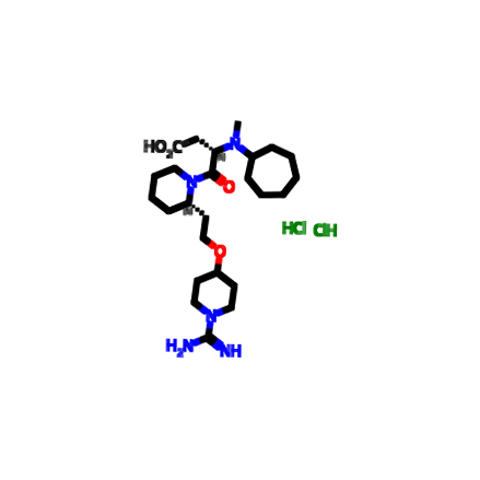 CN(C1CCCCCC1)[C@@H](CC(=O)O)C(=O)N1CCCC[C@H]1CCOC1CCN(C(=N)N)CC1.Cl.Cl